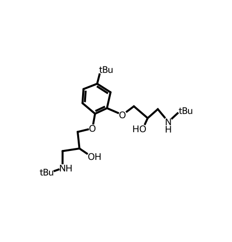 CC(C)(C)NCC(O)COc1ccc(C(C)(C)C)cc1OCC(O)CNC(C)(C)C